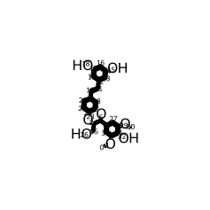 COc1cc(C2Oc3cc(C=Cc4cc(O)cc(O)c4)ccc3OC2CO)cc(OC)c1O